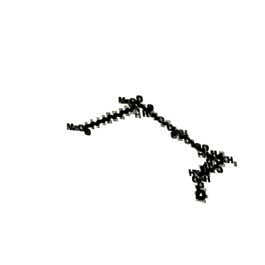 COC(=O)CCCCCCCCCCCCCCCCC(=O)NC(CCC(=O)NCCOCCOCC(=O)NCCOCCOCC(=O)NCC(=O)N1[C@H]2C[C@@]2(C)C[C@H]1C(=O)NCc1cc(C(=N)NC(=O)OCc2ccccc2)cs1)C(=O)OC